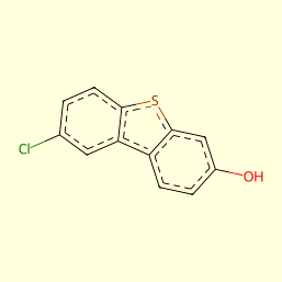 Oc1ccc2c(c1)sc1ccc(Cl)cc12